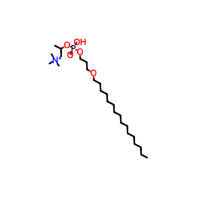 CCCCCCCCCCCCCCCCOCCCOP(=O)(O)OC(C)C[N+](C)(C)C